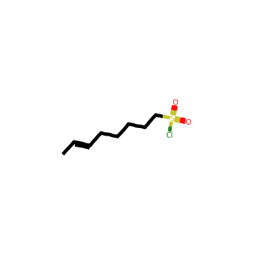 C/C=C/CCCCCS(=O)(=O)Cl